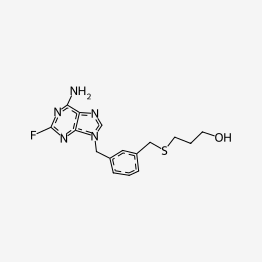 Nc1nc(F)nc2c1ncn2Cc1cccc(CSCCCO)c1